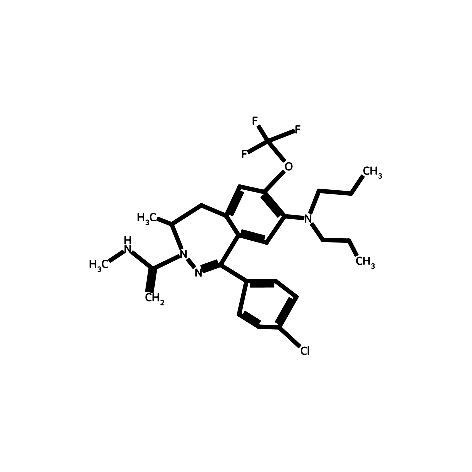 C=C(NC)N1N=C(c2ccc(Cl)cc2)c2cc(N(CCC)CCC)c(OC(F)(F)F)cc2CC1C